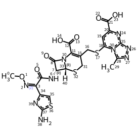 CO/N=C(\C(=O)N[C@@H]1C(=O)N2C(C(=O)O)=C(CSc3cc(C(=O)O)nc4nnc(C)n34)CS[C@H]12)c1csc(N)n1